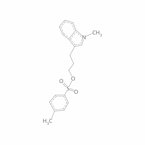 Cc1ccc(S(=O)(=O)OCCCc2cn(C)c3ccccc23)cc1